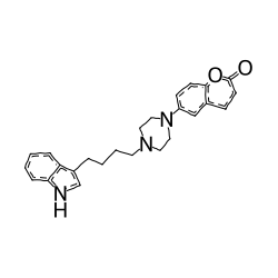 O=c1ccc2cc(N3CCN(CCCCc4c[nH]c5ccccc45)CC3)ccc2o1